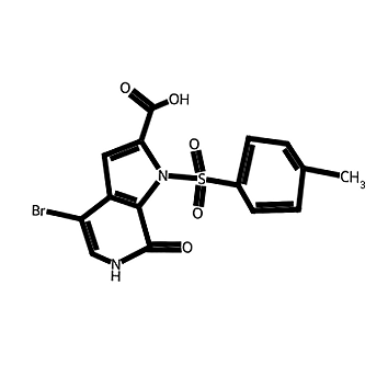 Cc1ccc(S(=O)(=O)n2c(C(=O)O)cc3c(Br)c[nH]c(=O)c32)cc1